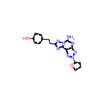 Nc1nc2nn(-c3ccco3)nc2c2nc(CCc3ccc(O)cc3)nn12